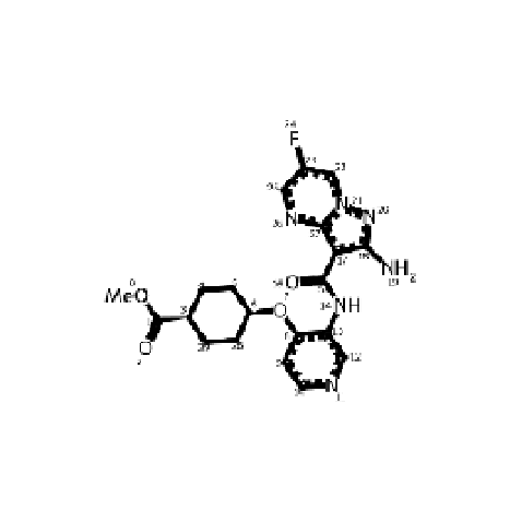 COC(=O)[C@H]1CC[C@@H](Oc2ccncc2NC(=O)c2c(N)nn3cc(F)cnc23)CC1